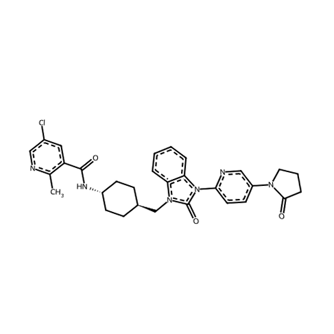 Cc1ncc(Cl)cc1C(=O)N[C@H]1CC[C@H](Cn2c(=O)n(-c3ccc(N4CCCC4=O)cn3)c3ccccc32)CC1